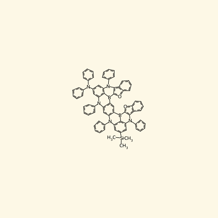 C[Si](C)(C)c1cc2c3c(c1)N(c1ccccc1)c1c(oc4ccccc14)B3c1cc3c(cc1N2c1ccccc1)N(c1ccccc1)c1cc(N(c2ccccc2)c2ccccc2)cc2c1B3c1oc3ccccc3c1N2c1ccccc1